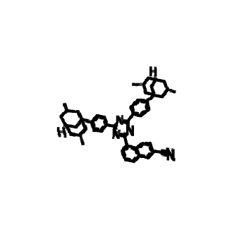 C[C@@H]1C[C@@H]2C[C@H](C)CC(c3ccc(-c4nc(-c5ccc(C67C[C@H](C)C[C@H](C[C@H](C)C6)C7)cc5)nc(-c5cccc6cc(C#N)ccc56)n4)cc3)(C1)C2